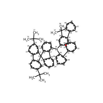 CC(C)(C)c1ccc2c(c1)C1(c3cc(C(C)(C)C)ccc3-2)c2ccccc2-c2c(N(c3ccc4c(c3)C(C)(C)c3ccccc3-4)c3ccccc3-c3ccccc3)cccc21